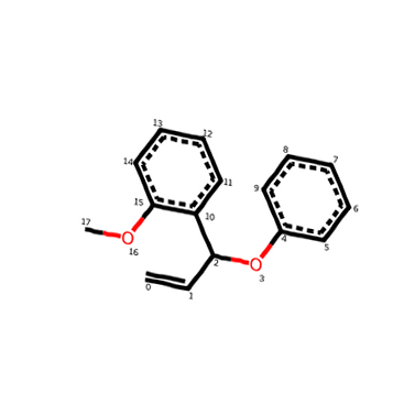 C=CC(Oc1ccccc1)c1ccccc1OC